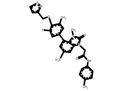 Cc1ccc(NC(=O)Cn2c(=O)n(C)c3c(-c4cc(C)c(OCc5ccon5)c(F)c4)cc(C)cc32)cc1